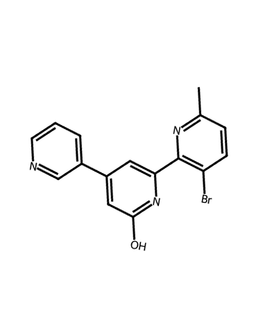 Cc1ccc(Br)c(-c2cc(-c3cccnc3)cc(O)n2)n1